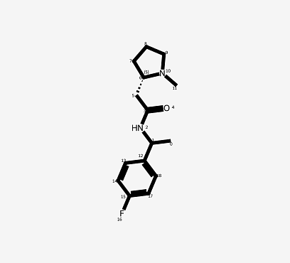 CC(NC(=O)C[C@@H]1CCCN1C)c1ccc(F)cc1